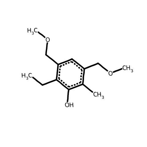 CCc1c(COC)cc(COC)c(C)c1O